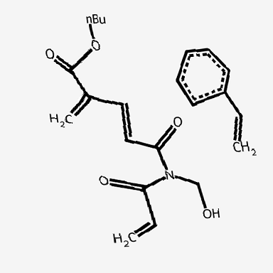 C=CC(=O)N(CO)C(=O)C=CC(=C)C(=O)OCCCC.C=Cc1ccccc1